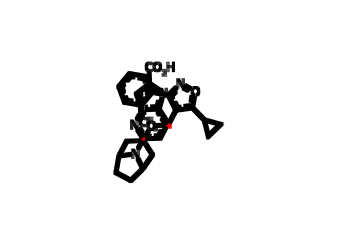 O=C(O)c1cn2nc(N3C4CCC3CC(OCc3c(-c5ccccc5C(F)(F)F)noc3C3CC3)C4)ccc2n1